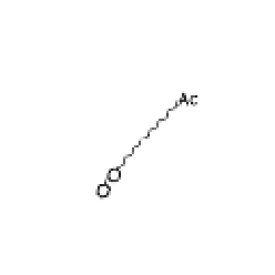 CC(=O)CCCCCCCCCCCCCCCOCc1ccccc1